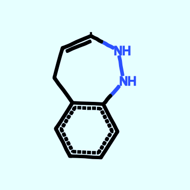 [C]1=CCc2ccccc2NN1